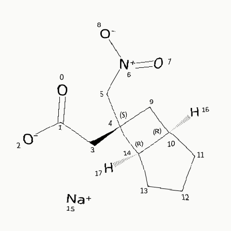 O=C([O-])C[C@@]1(C[N+](=O)[O-])C[C@H]2CCC[C@H]21.[Na+]